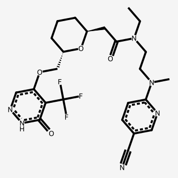 CCN(CCN(C)c1ccc(C#N)cn1)C(=O)C[C@@H]1CCC[C@@H](COc2cn[nH]c(=O)c2C(F)(F)F)O1